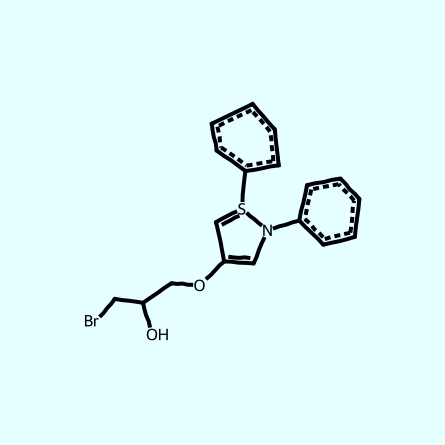 OC(CBr)COC1=CN(c2ccccc2)S(c2ccccc2)=C1